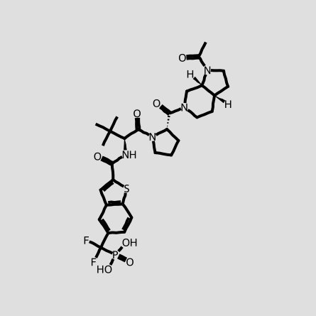 CC(=O)N1CC[C@@H]2CCN(C(=O)[C@@H]3CCCN3C(=O)[C@@H](NC(=O)c3cc4cc(C(F)(F)P(=O)(O)O)ccc4s3)C(C)(C)C)C[C@@H]21